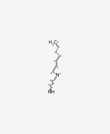 C=CCC=C=C=CN=C=C=N